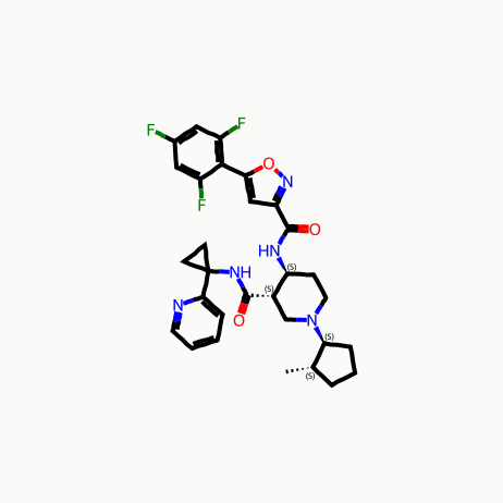 C[C@H]1CCC[C@@H]1N1CC[C@H](NC(=O)c2cc(-c3c(F)cc(F)cc3F)on2)[C@@H](C(=O)NC2(c3ccccn3)CC2)C1